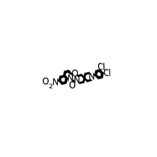 O=C(N1CCC2(CC1)CCN(c1ccc(Cl)c(Cl)c1)CC2)n1c(=O)ccc2cc([N+](=O)[O-])ccc21